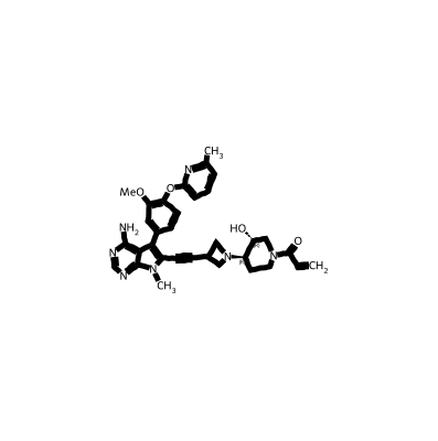 C=CC(=O)N1CC[C@@H](N2CC(C#Cc3c(-c4ccc(Oc5cccc(C)n5)c(OC)c4)c4c(N)ncnc4n3C)C2)[C@H](O)C1